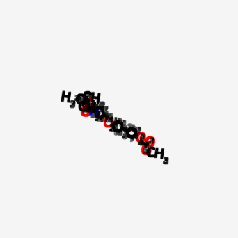 COC(=O)COc1ccc(C2CCC(OCC3CCN(C(=O)OC(C)(C)C)CC3)CC2)cc1